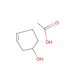 CC(=O)O.OC1CC=CCC1